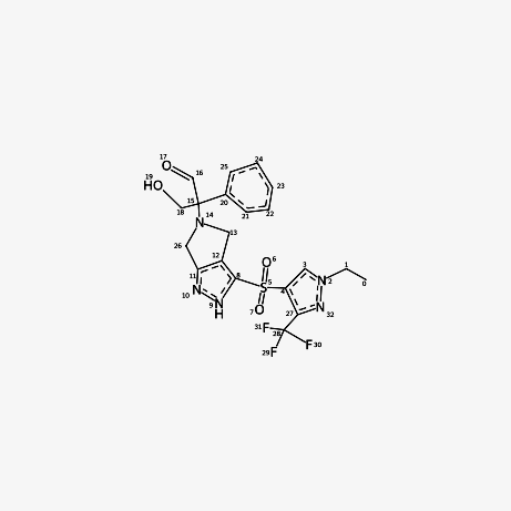 CCn1cc(S(=O)(=O)c2[nH]nc3c2CN(C(C=O)(CO)c2ccccc2)C3)c(C(F)(F)F)n1